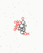 C[C@]12C=CC(=O)C=C1[C@H](OS(C)(=O)=O)[C@H](OS(C)(=O)=O)[C@@H]1[C@@H]2CC[C@@]2(C)[C@H]1CC[C@]2(C)O